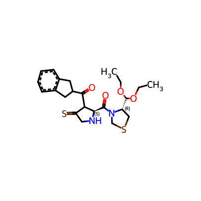 CCOC(OCC)[C@@H]1CSCN1C(=O)[C@H]1NCC(=S)C1C(=O)C1Cc2ccccc2C1